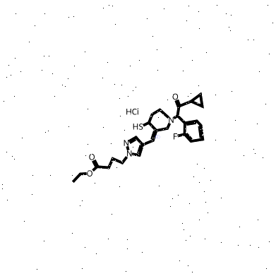 CCOC(=O)CCCn1cc(/C=C2/CN(C(C(=O)C3CC3)c3ccccc3F)CCC2S)cn1.Cl